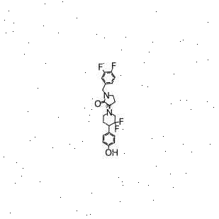 O=C1[C@H](N2CCC(c3ccc(O)cc3)C(F)(F)C2)CCN1Cc1ccc(F)c(F)c1